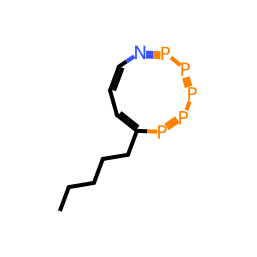 CCCCCc1cccnppppp1